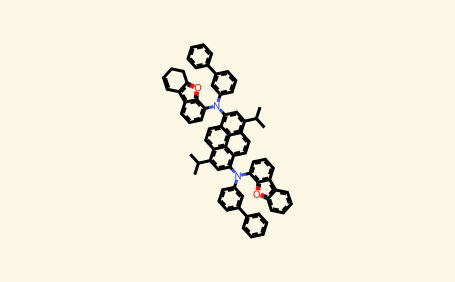 CC(C)c1cc(N(c2cccc(-c3ccccc3)c2)c2cccc3c4c(oc23)CCC=C4)c2ccc3c(C(C)C)cc(N(c4cccc(-c5ccccc5)c4)c4cccc5c4oc4ccccc45)c4ccc1c2c34